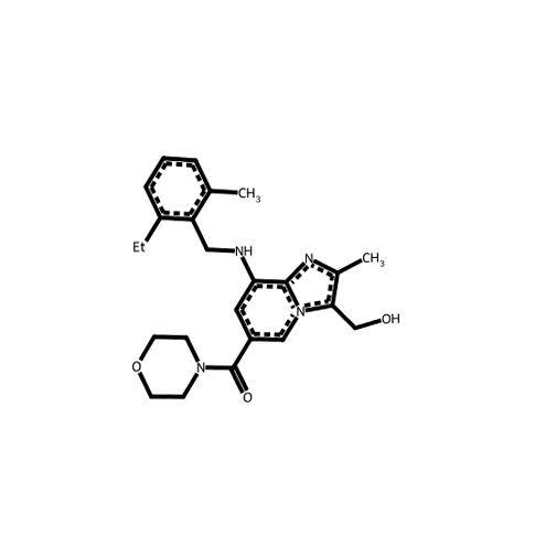 CCc1cccc(C)c1CNc1cc(C(=O)N2CCOCC2)cn2c(CO)c(C)nc12